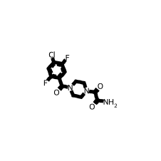 NC(=O)C(=O)N1CCN(C(=O)c2cc(F)c(Cl)cc2F)CC1